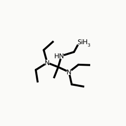 CCN(CC)C(C)(NC[SiH3])N(CC)CC